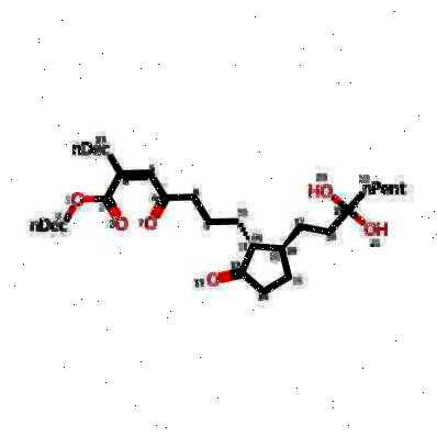 CCCCCCCCCCOC(=O)C(=CC(=O)CCC[C@H]1C(=O)CC[C@@H]1CCC(O)(O)CCCCC)CCCCCCCCCC